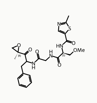 COC[C@H](NC(=O)c1cnc(C)s1)C(=O)NCC(=O)NC(Cc1ccccc1)C(=O)[C@@]1(C)CO1